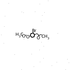 CCC(=O)Cc1ccc(OCOC)cc1Br